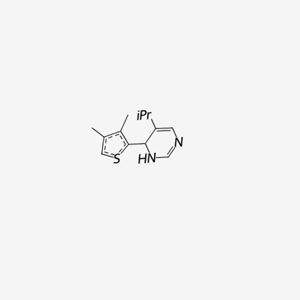 Cc1csc(C2NC=NC=C2C(C)C)c1C